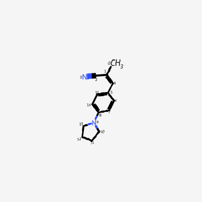 C/C(C#N)=C/c1ccc(N2CCCC2)cc1